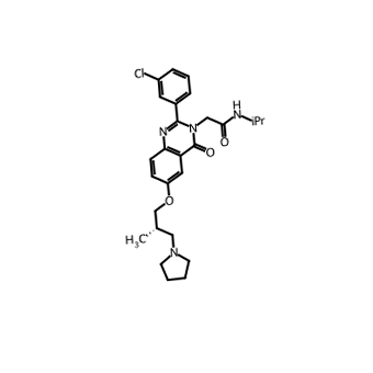 CC(C)NC(=O)Cn1c(-c2cccc(Cl)c2)nc2ccc(OC[C@@H](C)CN3CCCC3)cc2c1=O